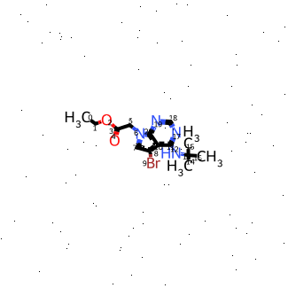 CCOC(=O)Cn1cc(Br)c2c(NC(C)(C)C)ncnc21